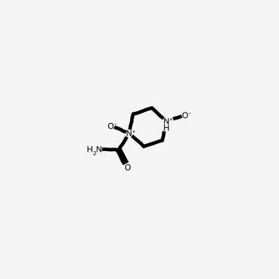 NC(=O)[N+]1([O-])CC[NH+]([O-])CC1